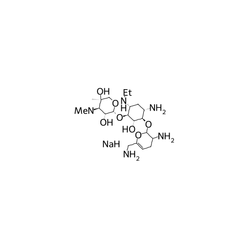 CCN[C@@H]1C[C@H](N)[C@@H](OC2OC(CN)=CCC2N)[C@H](O)[C@H]1O[C@H]1OC[C@](C)(O)[C@H](NC)[C@H]1O.[NaH]